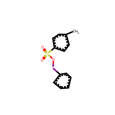 Cc1ccc(S(=O)(=O)O[I+]c2ccccc2)cc1